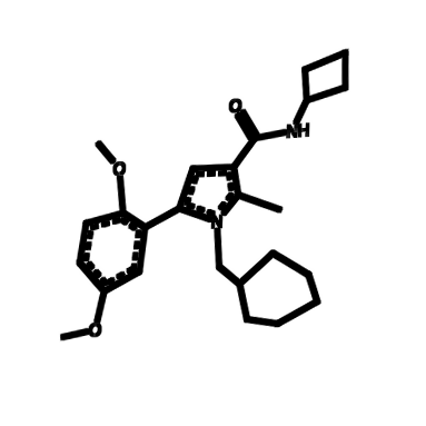 COc1ccc(OC)c(-c2cc(C(=O)NC3CCC3)c(C)n2CC2CCCCC2)c1